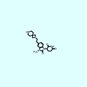 Cn1c(=O)n(C2CCC(=O)NC2=O)c2ccc(CCN3CC4(CCNCC4)C3)cc21